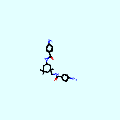 CC1(C)CC(NC(=O)c2ccc(N)cc2)CC(C)(CNC(=O)c2ccc(N)cc2)C1